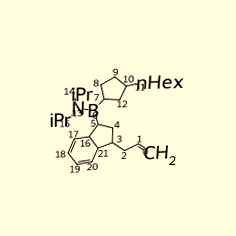 C=CCC1CC(B(C2CCC(CCCCCC)C2)N(C(C)C)C(C)C)C2C=CC=CC12